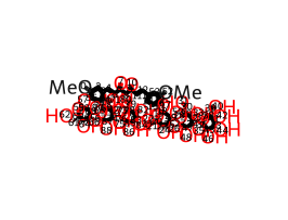 COc1cc(/C=C/C(=O)CC(=O)/C=C/c2ccc(O[C@@H]3O[C@H](CO)[C@@H](O)[C@H](O[C@@H]4O[C@H](CO)[C@@H](O)[C@H](O[C@@H]5O[C@H](CO)[C@@H](O)[C@H](O)[C@H]5O)[C@H]4O)[C@H]3O)c(OC)c2)ccc1O[C@@H]1O[C@H](CO)[C@@H](O)[C@H](O[C@@H]2O[C@H](CO)[C@@H](O)[C@H](O[C@@H]3O[C@H](CO)[C@@H](O)[C@H](O)[C@H]3O)[C@H]2O)[C@H]1O